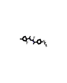 C/C(=C(F)\C=C(/C)c1ccc(C)cc1F)c1ccc(N=C=S)cc1